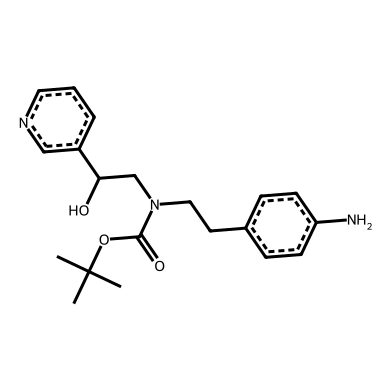 CC(C)(C)OC(=O)N(CCc1ccc(N)cc1)CC(O)c1cccnc1